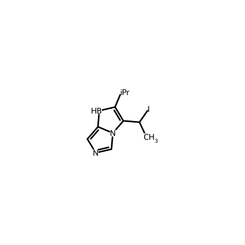 CC(C)C1=C(C(C)I)n2cncc2B1